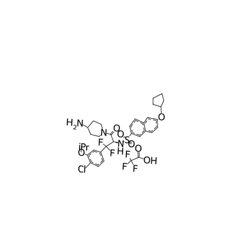 CC(C)Oc1cc(C(F)(F)[C@H](NS(=O)(=O)c2ccc3cc(OC4CCCC4)ccc3c2)C(=O)N2CCC(N)CC2)ccc1Cl.O=C(O)C(F)(F)F